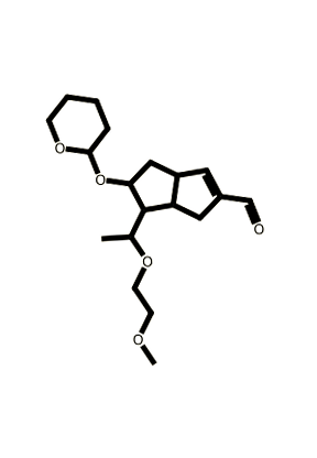 COCCOC(C)C1C(OC2CCCCO2)CC2C=C(C=O)CC21